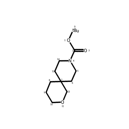 CC(C)(C)OC(=O)N1CCC2(CCCOC2)CC1